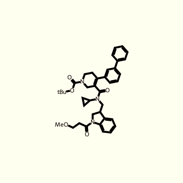 COCCC(=O)N1CC(CN(C(=O)C2=C(c3cccc(-c4ccccc4)c3)CCN(C(=O)OC(C)(C)C)C2)C2CC2)c2ccccc21